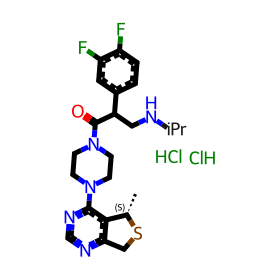 CC(C)NCC(C(=O)N1CCN(c2ncnc3c2[C@H](C)SC3)CC1)c1ccc(F)c(F)c1.Cl.Cl